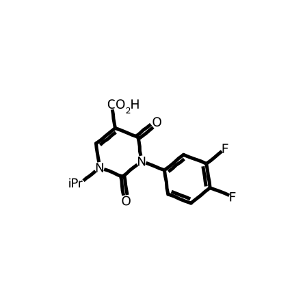 CC(C)n1cc(C(=O)O)c(=O)n(-c2ccc(F)c(F)c2)c1=O